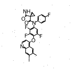 Cc1cc2c(Oc3c(F)cc(N(C(=O)C4(C(N)=O)CC4)c4ccc(F)cc4)c(F)c3F)ccnc2cc1I